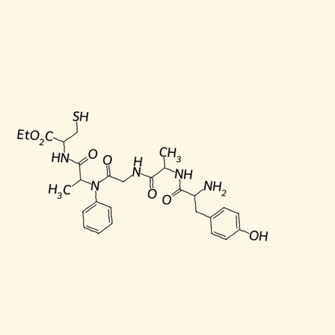 CCOC(=O)C(CS)NC(=O)C(C)N(C(=O)CNC(=O)C(C)NC(=O)C(N)Cc1ccc(O)cc1)c1ccccc1